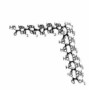 C=C(C)C(=O)O.C=C(C)C(=O)O.C=C(C)C(=O)O.C=C(C)C(=O)O.C=C(C)C(=O)O.C=C(C)C(=O)O.C=C(C)C(=O)O.C=C(C)C(=O)O.C=C(C)C(=O)O.C=C(C)C(=O)O.C=C(C)C(=O)O.C=C(C)C(=O)O